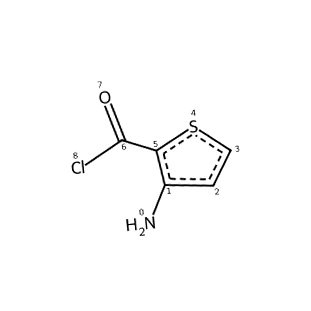 Nc1ccsc1C(=O)Cl